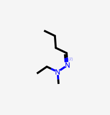 CCC/C=N\N(C)CC